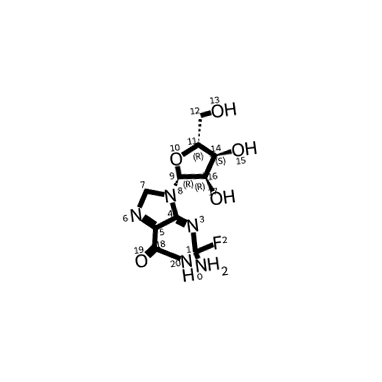 NC1(F)N=C2C(=NCN2[C@@H]2O[C@H](CO)[C@@H](O)[C@H]2O)C(=O)N1